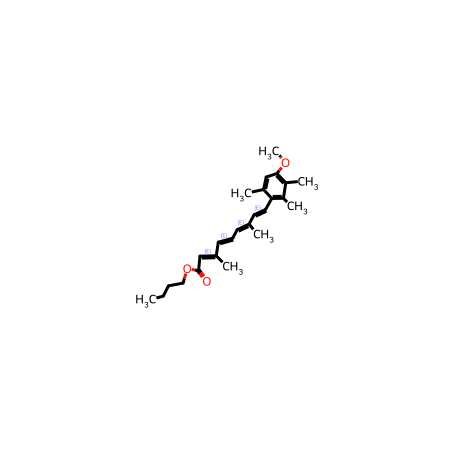 CCCCOC(=O)/C=C(C)/C=C/C=C(C)/C=C/c1c(C)cc(OC)c(C)c1C